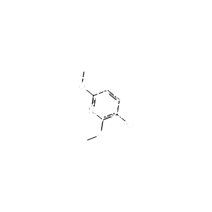 COc1ccc(Cl)c(OC)n1